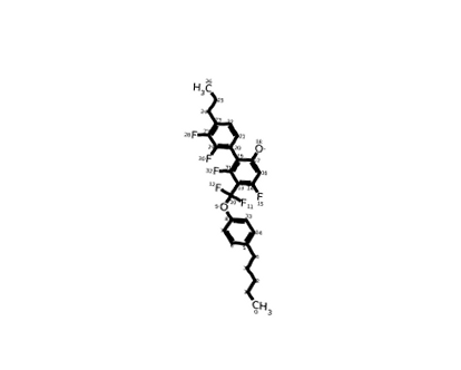 CCCCCc1ccc(OC(F)(F)c2c(F)cc([O])c(-c3ccc(CCC)c(F)c3F)c2F)cc1